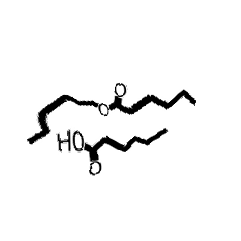 CC/C=C\CCOC(=O)/C=C/CCC.CCC/C=C/C(=O)O